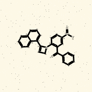 O=C(c1ccccc1)c1cc([N+](=O)[O-])ccc1N1CC=C1c1cccc2ccccc12